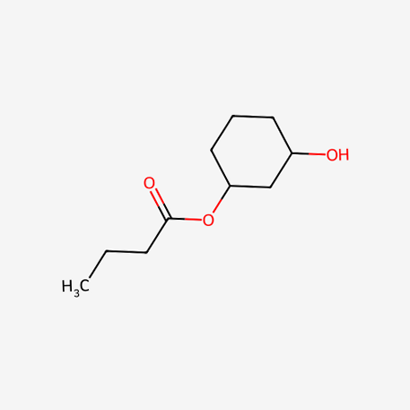 CCCC(=O)OC1CCCC(O)C1